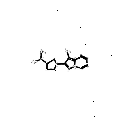 Cc1c(N2CCC(N(C)C)C2)nn2ccccc12